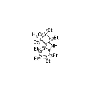 CCc1c(C)c(CC)c2c([nH]c3c(CC)c(CC)c(CC)c(CC)c32)c1CC